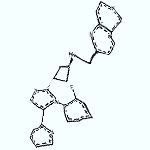 Fc1ccccc1-n1c(-c2ccccn2)nnc1[C@H]1C[C@H](NCc2ccc3cnccc3n2)C1